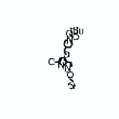 CC(C)(C)OC(=O)N1CCC(COc2cc(Cl)nc3c2ccn3COCC[Si](C)(C)C)CC1